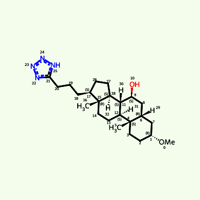 CO[C@@H]1CC[C@@]2(C)[C@@H](C1)C[C@H](O)[C@@H]1[C@@H]2CC[C@]2(C)[C@@H](CCCc3nnn[nH]3)CC[C@@H]12